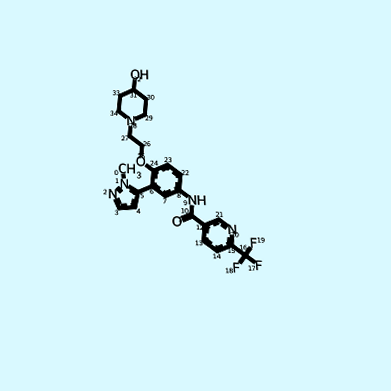 Cn1nccc1-c1cc(NC(=O)c2ccc(C(F)(F)F)nc2)ccc1OCCN1CCC(O)CC1